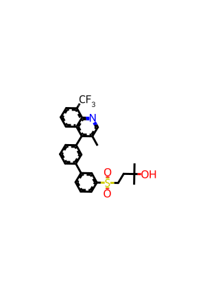 Cc1cnc2c(C(F)(F)F)cccc2c1-c1cccc(-c2cccc(S(=O)(=O)CCC(C)(C)O)c2)c1